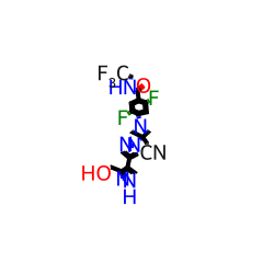 N#CCC1(n2cc(-c3c[nH]nc3CO)cn2)CN(c2cc(F)c(C(=O)NCC(F)(F)F)cc2F)C1